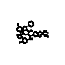 C[Si](C)(C)Oc1ccc(C(Nc2ccc(F)cc2)[C@@H](CCC2(c3ccc(F)cc3)OCCO2)C(=O)N2C(=O)OC[C@@H]2c2ccccc2)cc1